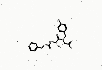 Cc1ccc(CN(CC(=O)O)C(=O)[C@H](C)NC(=O)OCc2ccccc2)cc1